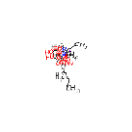 C/C=C/CCC(I)(CC)C1CC(CC)[C@@H](O[C@@H]2OC(C)[C@@H](O)C(O)C2O)[C@H](O[C@@H]2OC(CO)[C@H](O)C(O[C@@H](CC3CCC(C(C)CC/C=C\CC)CC3)C(=O)O)C2NC(C)=O)C1